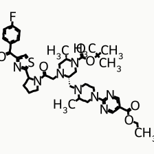 CCOC(=O)c1cnc(N2CCN(C[C@H]3CN(C(=O)OC(C)(C)C)[C@H](C)CN3CC(=O)N3CCCC3c3nc(C(=O)c4ccc(F)cc4)cs3)C(C)C2)nc1